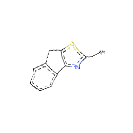 CC(C)c1nc2c(s1)Cc1ccccc1-2